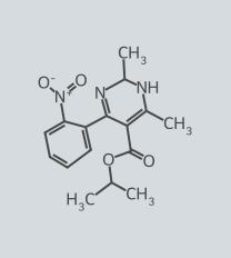 CC1=C(C(=O)OC(C)C)C(c2ccccc2[N+](=O)[O-])=NC(C)N1